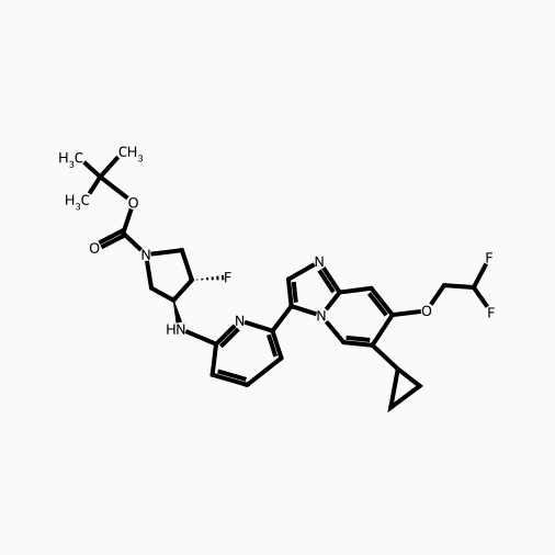 CC(C)(C)OC(=O)N1C[C@H](Nc2cccc(-c3cnc4cc(OCC(F)F)c(C5CC5)cn34)n2)[C@@H](F)C1